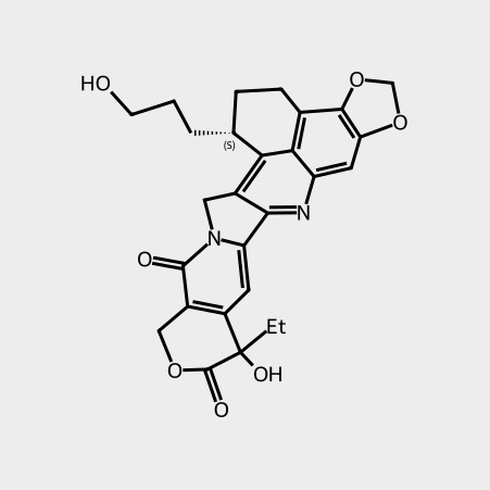 CCC1(O)C(=O)OCc2c1cc1n(c2=O)Cc2c-1nc1cc3c(c4c1c2[C@H](CCCO)CC4)OCO3